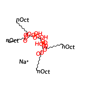 CCCCCCCC/C=C\CCCCCCCC(=O)OC[C@H](COP(=O)(O)OCC(O)COP(=O)(O)OC[C@@H](COC(=O)CCCCCCC/C=C\CCCCCCCC)OC(=O)CCCCCCC/C=C\CCCCCCCC)OC(=O)CCCCCCC/C=C\CCCCCCCC.[Na+]